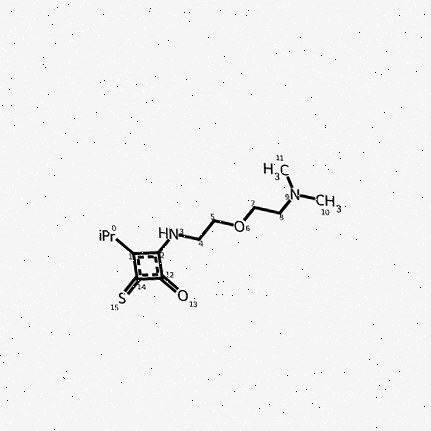 CC(C)c1c(NCCOCCN(C)C)c(=O)c1=S